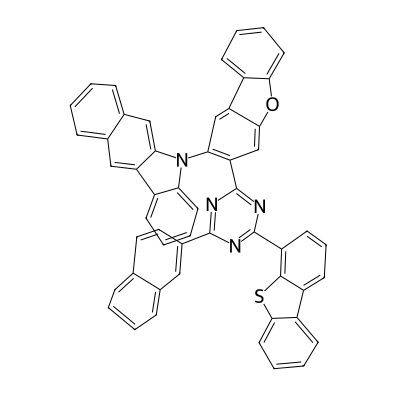 c1ccc2cc(-c3nc(-c4cc5oc6ccccc6c5cc4-n4c5ccccc5c5cc6ccccc6cc54)nc(-c4cccc5c4sc4ccccc45)n3)ccc2c1